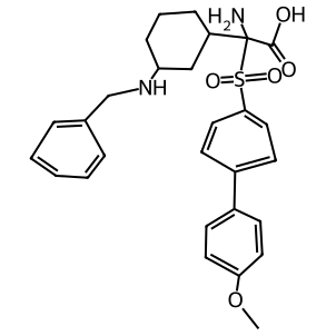 COc1ccc(-c2ccc(S(=O)(=O)C(N)(C(=O)O)C3CCCC(NCc4ccccc4)C3)cc2)cc1